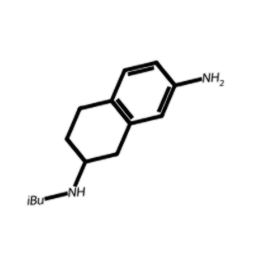 CCC(C)NC1CCc2ccc(N)cc2C1